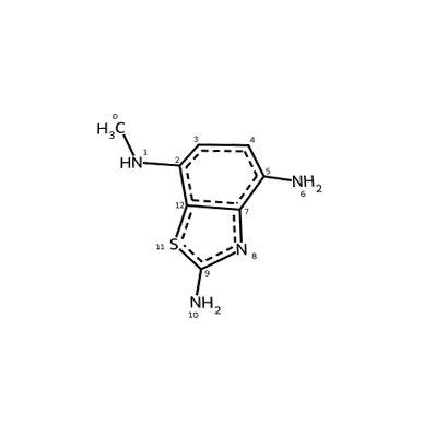 CNc1ccc(N)c2nc(N)sc12